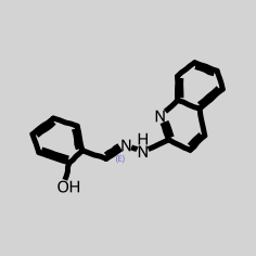 Oc1ccccc1/C=N/Nc1ccc2ccccc2n1